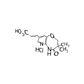 CC1(C)COc2cc(/C=C/C(=O)O)cnc2NC1=O.Cl